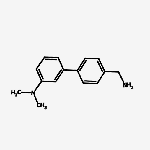 CN(C)c1cccc(-c2ccc(CN)cc2)c1